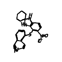 O=[N+]([O-])c1ccc2c(c1Sc1cccc3cnccc13)NC1(CCCCC1)N2